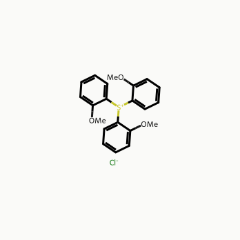 COc1ccccc1[S+](c1ccccc1OC)c1ccccc1OC.[Cl-]